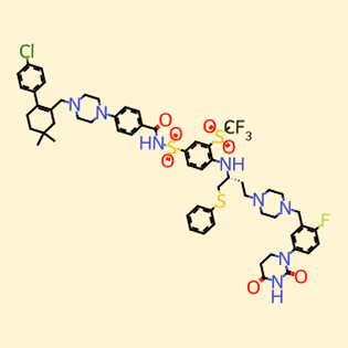 CC1(C)CCC(c2ccc(Cl)cc2)=C(CN2CCN(c3ccc(C(=O)NS(=O)(=O)c4ccc(N[C@H](CCN5CCN(Cc6cc(N7CCC(=O)NC7=O)ccc6F)CC5)CSc5ccccc5)c(S(=O)(=O)C(F)(F)F)c4)cc3)CC2)C1